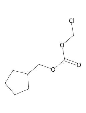 O=C(OCCl)OCC1CCCC1